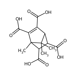 CC1(C)C2C(C(=O)O)=C(C(=O)O)C1(C)C(C(=O)O)C2C(=O)O